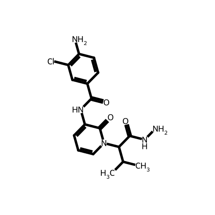 CC(C)C(C(=O)NN)n1cccc(NC(=O)c2ccc(N)c(Cl)c2)c1=O